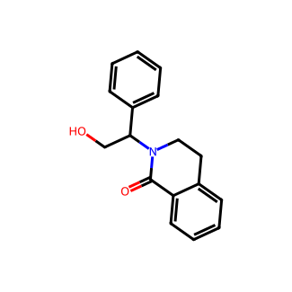 O=C1c2ccccc2CCN1C(CO)c1ccccc1